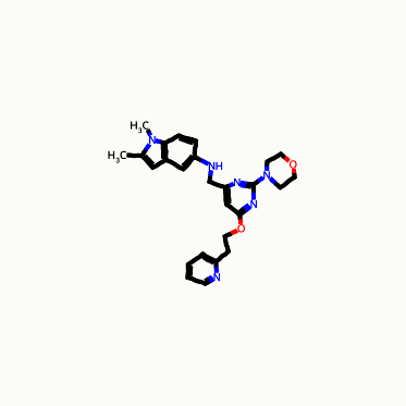 Cc1cc2cc(NCc3cc(OCCc4ccccn4)nc(N4CCOCC4)n3)ccc2n1C